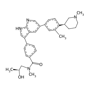 Cc1cc(-c2cnc3[nH]cc(-c4ccc(C(=O)N(C)C[C@H](C)O)cc4)c3c2)ccc1[C@@H]1CCCN(C)C1